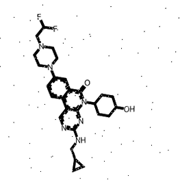 O=c1c2cc(N3CCN(CC(F)F)CC3)ccc2c2cnc(NCC3CC3)nc2n1C1CCC(O)CC1